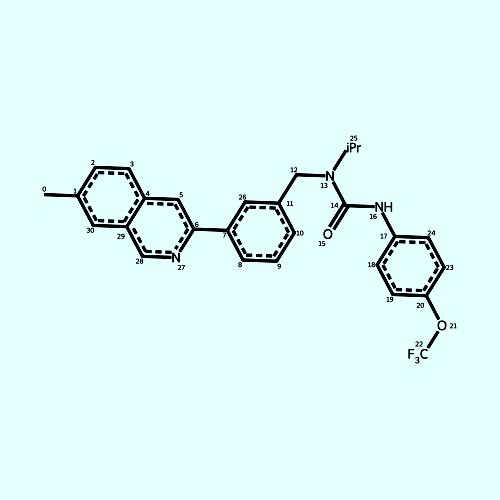 Cc1ccc2cc(-c3cccc(CN(C(=O)Nc4ccc(OC(F)(F)F)cc4)C(C)C)c3)ncc2c1